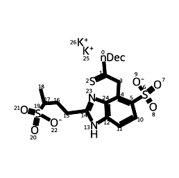 CCCCCCCCCCC(=S)Cc1c(S(=O)(=O)[O-])ccc2[nH]c(CCC(C)S(=O)(=O)[O-])nc12.[K+].[K+]